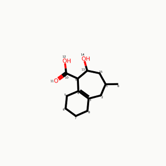 CC1CC2=C(CCCC2)C(C(=O)O)C(O)C1